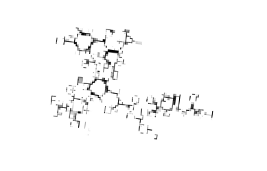 CCOC(=O)C(Cl)Cc1cc(-n2nc(C)n(C(F)F)c2=O)c(F)cc1Cl.CS(=O)(=O)c1cc(Cl)ccc1C(=O)c1cnoc1C1CC1.O=C(O)CNCP(=O)(O)O